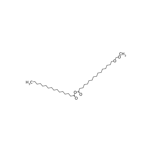 CCCCCCCCCCCCCCCC(=O)OC(=O)CCCCCCCCCCCCCCCOCOC